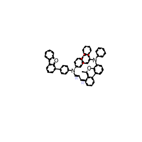 CC1=c2c(ccc/c2=C/C=C/N(c2ccc(-c3ccccc3)cc2)c2ccc(-c3cccc4c3oc3ccccc34)cc2)-c2cccc(N(c3ccccc3)c3ccccc3)c2O1